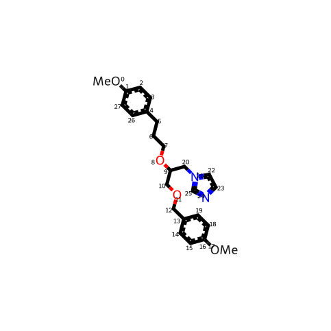 COc1ccc(CCCOC(COCc2ccc(OC)cc2)Cn2ccnc2)cc1